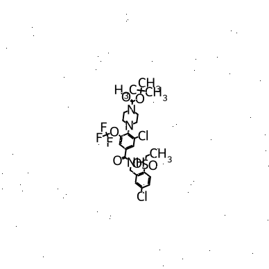 CCS(=O)(=O)c1ccc(Cl)cc1CNC(=O)c1cc(Cl)c(N2CCN(C(=O)OC(C)(C)C)CC2)c(OC(F)(F)F)c1